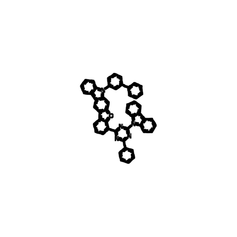 c1ccc(-c2cccc(-n3c4ccccc4c4cc5c(cc43)oc3c(-c4nc(-c6ccccc6)nc(-n6c7ccccc7c7ccccc76)n4)cccc35)c2)cc1